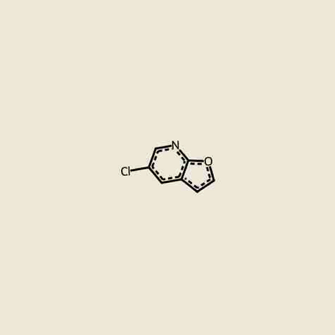 Clc1cnc2occc2c1